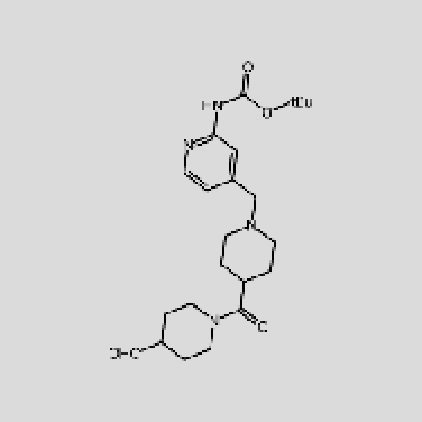 CC(C)(C)OC(=O)Nc1cc(CN2CCC(C(=O)N3CCC(C=O)CC3)CC2)ccn1